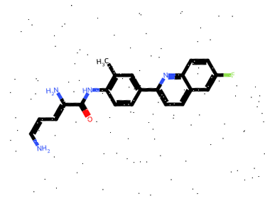 Cc1cc(-c2ccc3cc(F)ccc3n2)ccc1NC(=O)/C(N)=C/C=C\N